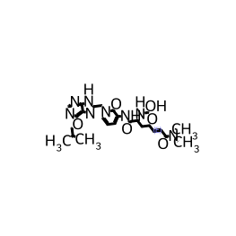 CC(C)COc1ncnc2[nH]c(Cn3cccc(NC(=O)C(CC/C=C/C(=O)N(C)C)NC(=O)O)c3=O)nc12